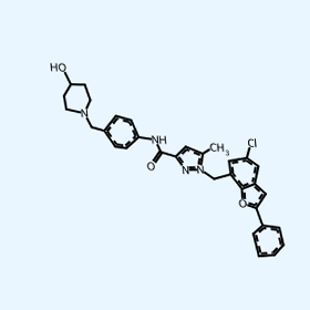 Cc1cc(C(=O)Nc2ccc(CN3CCC(O)CC3)cc2)nn1Cc1cc(Cl)cc2cc(-c3ccccc3)oc12